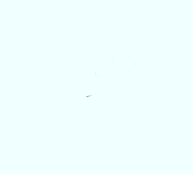 CC1(C)OC(=O)C(=O)N2C1CC[C@H]2c1ccc(F)cc1